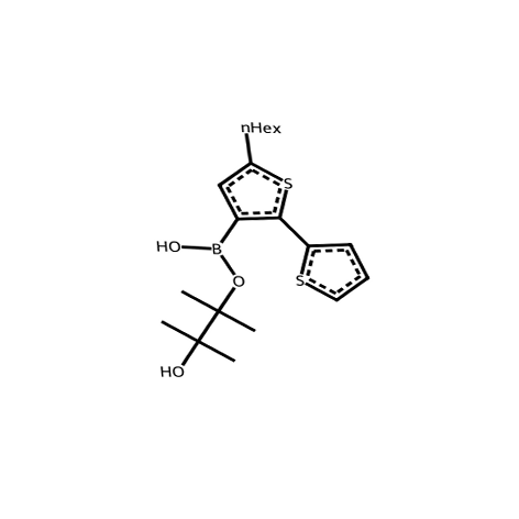 CCCCCCc1cc(B(O)OC(C)(C)C(C)(C)O)c(-c2cccs2)s1